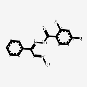 O=C(NN=C(C=NO)c1ccccc1)c1ccc(Cl)cc1Cl